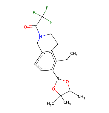 CCc1c(B2OC(C)C(C)(C)O2)ccc2c1CCN(C(=O)C(F)(F)F)C2